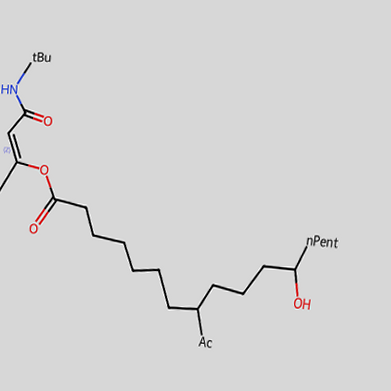 CCCCCC(O)CCCC(CCCCCCC(=O)O/C(C)=C\C(=O)NC(C)(C)C)C(C)=O